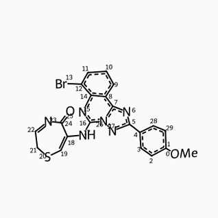 COc1ccc(-c2nc3c4cccc(Br)c4nc(NC4=CSCC=NC4=O)n3n2)cc1